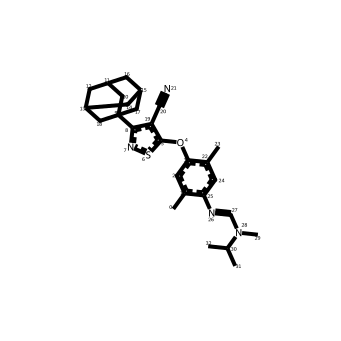 Cc1cc(Oc2snc(C34CC5CC(CC(C5)C3)C4)c2C#N)c(C)cc1N=CN(C)C(C)C